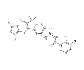 Cc1nc(C)c(CN2C(=O)C(C)(C)c3cc4nc(NC(=O)c5cccc(Cl)c5C)[nH]c4cc32)s1